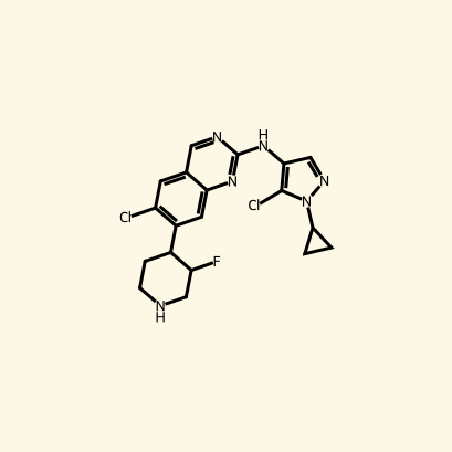 FC1CNCCC1c1cc2nc(Nc3cnn(C4CC4)c3Cl)ncc2cc1Cl